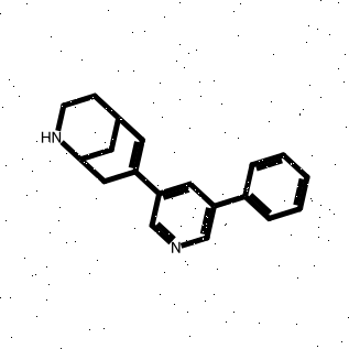 C1=C(c2cncc(-c3ccccc3)c2)CC2CC1CCN2